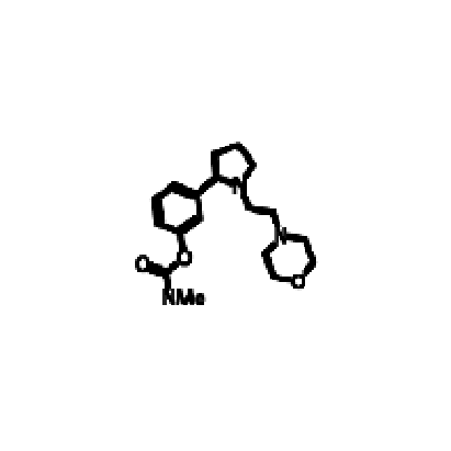 CNC(=O)Oc1cccc(C2CCCN2CCN2CCOCC2)c1